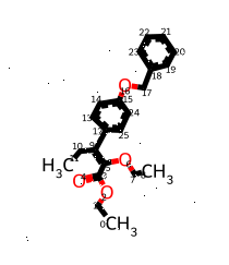 CCOC(=O)C(OCC)=C(CC)c1ccc(OCc2ccccc2)cc1